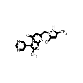 O=c1cc(CN2NC(C(F)(F)F)C=C2Cl)nc2sc(C(F)(F)F)c(-c3cncnc3)n12